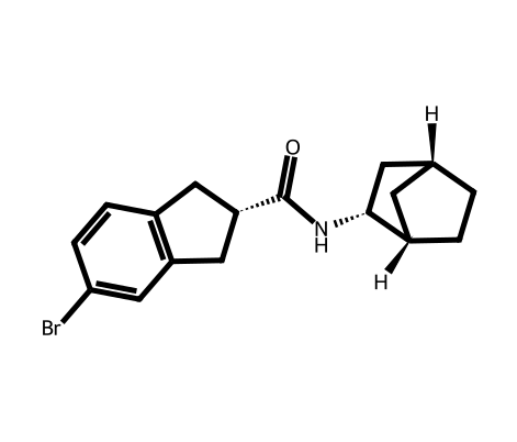 O=C(N[C@@H]1C[C@@H]2CC[C@H]1C2)[C@H]1Cc2ccc(Br)cc2C1